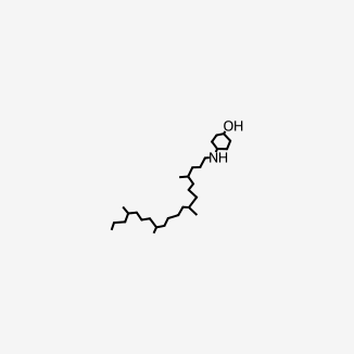 CCCC(C)CCCC(C)CCCCC(C)CCCC(C)CCCNC1CCC(O)CC1